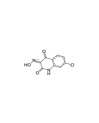 O=C1Nc2cc(Cl)ccc2C(=O)/C1=N/O